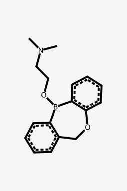 CN(C)CCOB1c2ccccc2COc2ccccc21